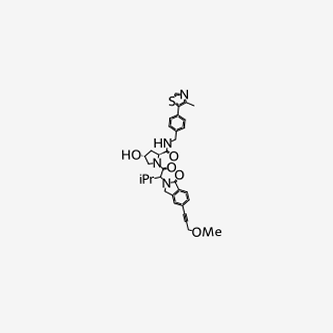 COCC#Cc1ccc2c(c1)CN(C(C(=O)N1C[C@H](O)C[C@H]1C(=O)NCc1ccc(-c3scnc3C)cc1)C(C)C)C2=O